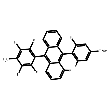 COc1cc(F)c(-c2c3ccccc3c(-c3c(F)c(F)c(C(F)(F)F)c(F)c3F)c3cccc(F)c23)c(F)c1